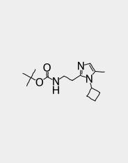 Cc1cnc(CCNC(=O)OC(C)(C)C)n1C1CCC1